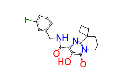 O=C(NCc1cccc(F)c1)c1nc2n(c(=O)c1O)CCCC21CCC1